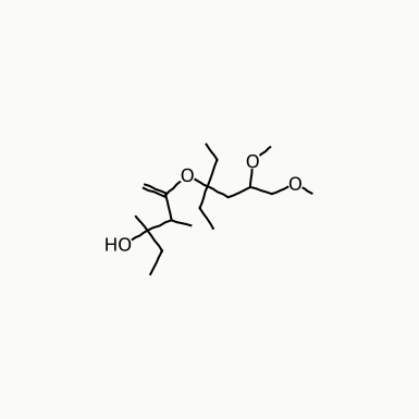 C=C(OC(CC)(CC)CC(COC)OC)C(C)C(C)(O)CC